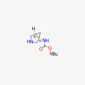 CCCCOC(=O)N[C@]12CNC[C@H]1C2